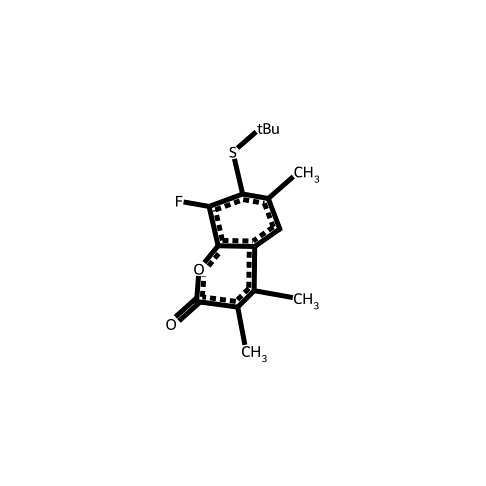 Cc1cc2c(C)c(C)c(=O)oc2c(F)c1SC(C)(C)C